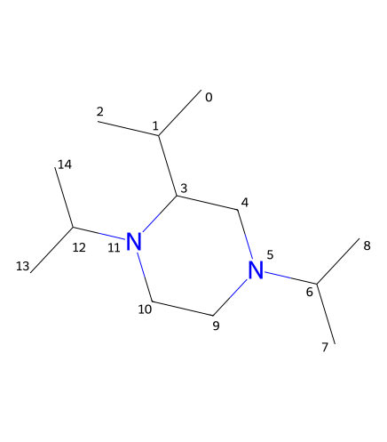 CC(C)C1CN(C(C)C)CCN1C(C)C